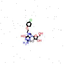 CO[C@@H]1[C@H](O)[C@@H](CO)O[C@H]1n1c[n+](CCOc2ccc(Cl)cc2)c2c(O)nc(N)nc21